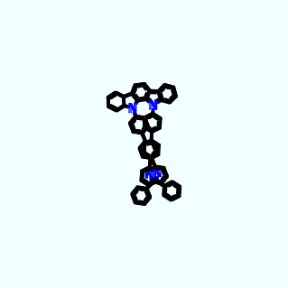 C1=CC2c3ccc4c5ccccc5n(-c5ccc(-c6ccc(-c7cccc(-c8ccccc8)n7)cc6)cc5)c4c3N(c3ccc(-c4ccc(-c5cccc(-c6ccccc6)n5)cc4)cc3)C2C=C1